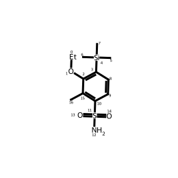 CCOc1c([Si](C)(C)C)ccc(S(N)(=O)=O)c1C